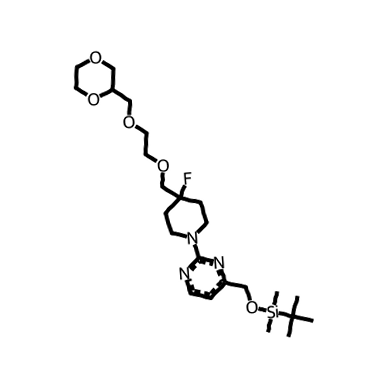 CC(C)(C)[Si](C)(C)OCc1ccnc(N2CCC(F)(COCCOCC3COCCO3)CC2)n1